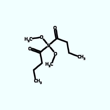 CCCC(=O)[Si](OC)(OC)C(=O)CCC